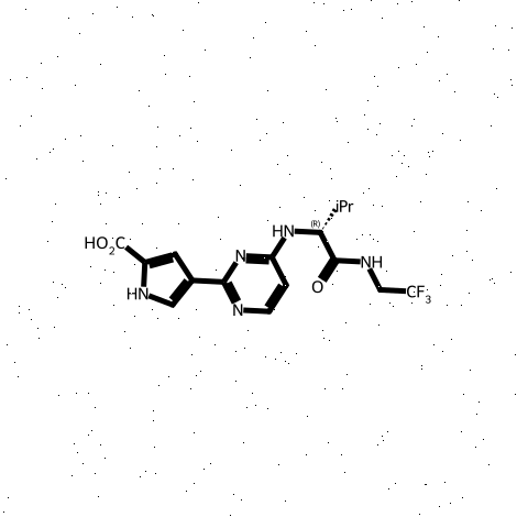 CC(C)[C@@H](Nc1ccnc(-c2c[nH]c(C(=O)O)c2)n1)C(=O)NCC(F)(F)F